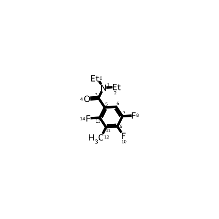 CCN(CC)C(=O)c1cc(F)c(F)c(C)c1F